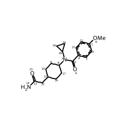 COc1ccc(C(=O)N(C2CCC(CC(N)=O)CC2)C2CC2)cc1